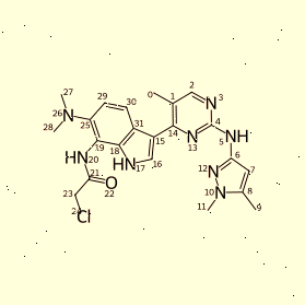 Cc1cnc(Nc2cc(C)n(C)n2)nc1-c1c[nH]c2c(NC(=O)CCl)c(N(C)C)ccc12